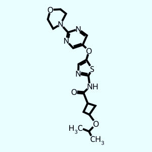 CC(C)OC1CC(C(=O)Nc2ncc(Oc3cnc(N4CCOCC4)nc3)s2)C1